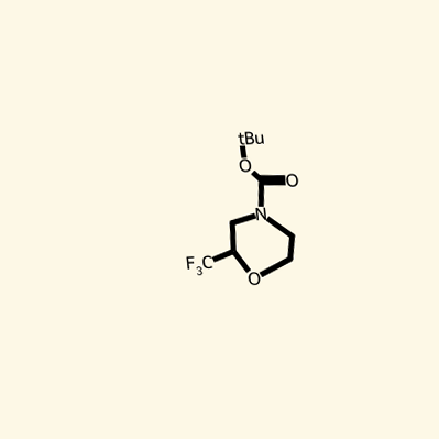 CC(C)(C)OC(=O)N1CCOC(C(F)(F)F)C1